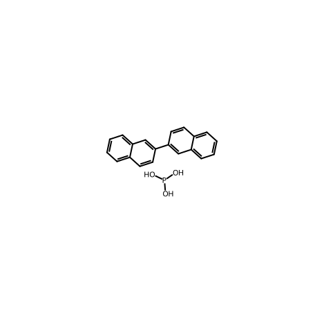 OP(O)O.c1ccc2cc(-c3ccc4ccccc4c3)ccc2c1